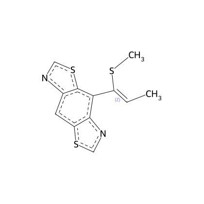 C/C=C(\SC)c1c2ncsc2cc2ncsc12